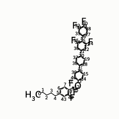 CCCCCc1ccc(C(F)(F)Oc2ccc(-c3ccc(-c4cc(F)c(-c5ccc(F)c(F)c5)c(F)c4)cc3)cc2)c(F)c1